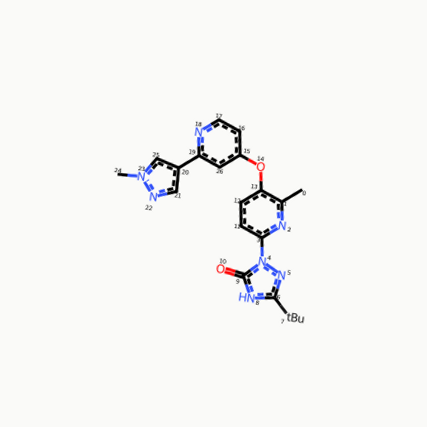 Cc1nc(-n2nc(C(C)(C)C)[nH]c2=O)ccc1Oc1ccnc(-c2cnn(C)c2)c1